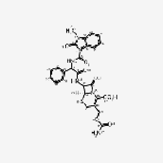 Cn1c(=O)n(C(=O)NC(C(=O)NC2C(=O)N3C(C(=O)O)=C(COC(N)=O)CS[C@@H]23)c2ccccc2)c2ccccc21